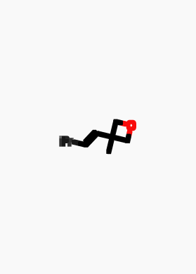 CC(C)/C=C/C1(C)COC1